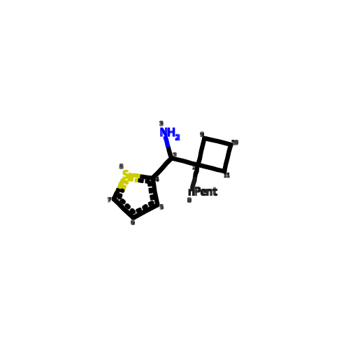 CCCCCC1(C(N)c2cccs2)CCC1